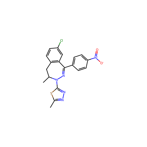 Cc1nnc(N2N=C(c3ccc([N+](=O)[O-])cc3)c3cc(Cl)ccc3CC2C)s1